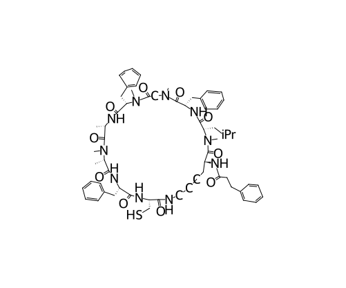 CC(C)C[C@H]1C(=O)N[C@@H](Cc2ccccc2)C(=O)N(C)CC(=O)N(C)[C@@H](Cc2ccccc2)C(=O)N[C@@H](C)C(=O)N(C)[C@@H](C)C(=O)N[C@@H](Cc2ccccc2)C(=O)N[C@@H](CS)C(=O)NCCCC[C@H](NC(=O)CCc2ccccc2)C(=O)N1C